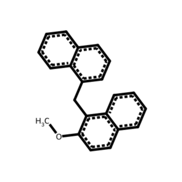 COc1ccc2ccccc2c1Cc1cccc2ccccc12